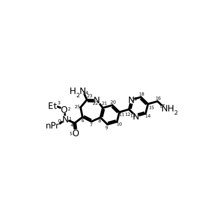 CCCN(OCC)C(=O)C1=Cc2ccc(-c3ncc(CN)cn3)cc2N=C(N)C1